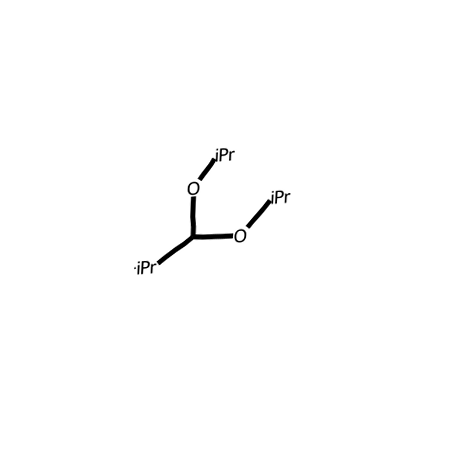 C[C](C)C(OC(C)C)OC(C)C